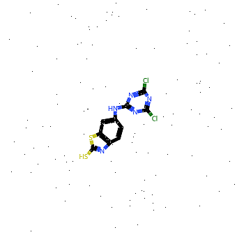 Sc1nc2ccc(Nc3nc(Cl)nc(Cl)n3)cc2s1